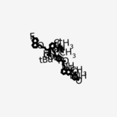 Cc1nc2c(NCC(=O)N3CCN(CCn4c(C(=O)OC(C)(C)C)c(CCCOc5cccc6cc(F)ccc56)c5ccc(Cl)c(-c6c(C)nn(C)c6C)c54)CC3)cccc2cc1N1CCC(=O)NC1=O